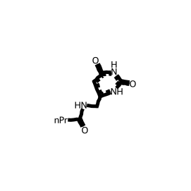 CCCC(=O)NCc1cc(=O)[nH]c(=O)[nH]1